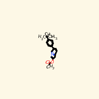 CC(=O)Oc1cc2ccc(-c3ccc(C(C)(C)C)cc3)cn2c1